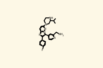 CC(C)C1CN(c2ccc3nc(-c4ccc(F)cc4)c(-c4ccnc(CN)c4)n3n2)CCN1